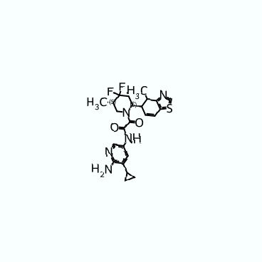 CC1c2ncsc2C=CC1[C@@H]1CC(F)(F)[C@@H](C)CN1C(=O)C(=O)Nc1cnc(N)c(C2CC2)c1